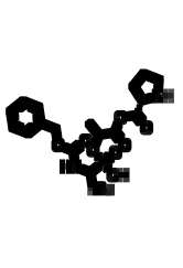 CCCCC(NC(=O)OCc1ccccc1)P(=O)(O)OC(C)C(=O)OC(=O)[C@@H]1CCCN1